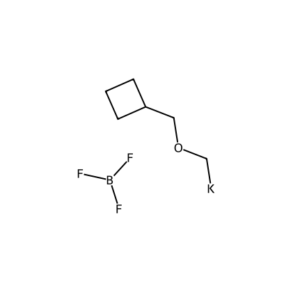 FB(F)F.[K][CH2]OCC1CCC1